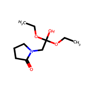 CCOC(O)(CN1CCCC1=O)OCC